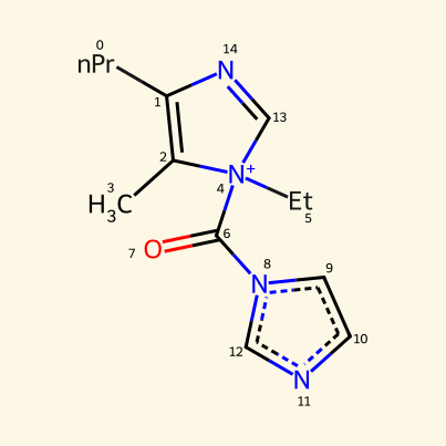 CCCC1=C(C)[N+](CC)(C(=O)n2ccnc2)C=N1